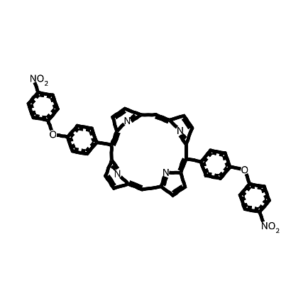 O=[N+]([O-])c1ccc(Oc2ccc(C3=C4C=CC(=N4)C=C4C=CC(=N4)C(c4ccc(Oc5ccc([N+](=O)[O-])cc5)cc4)=C4C=CC(=N4)C=C4C=CC3=N4)cc2)cc1